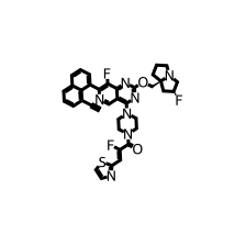 C#Cc1cccc2cccc(-c3ncc4c(N5CCN(C(=O)/C(F)=C/c6nccs6)CC5)nc(OC[C@@]56CCCN5C[C@H](F)C6)nc4c3F)c12